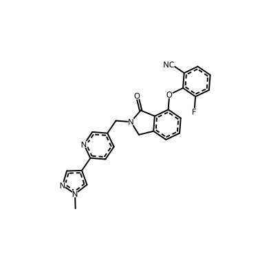 Cn1cc(-c2ccc(CN3Cc4cccc(Oc5c(F)cccc5C#N)c4C3=O)cn2)cn1